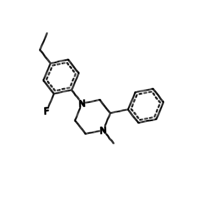 CCc1ccc(N2CCN(C)C(c3ccccc3)C2)c(F)c1